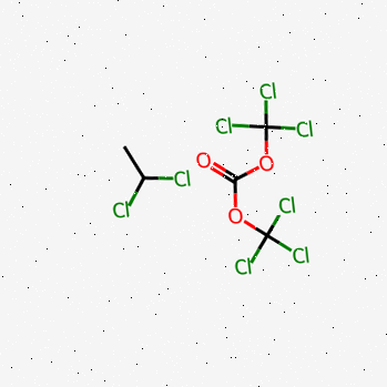 CC(Cl)Cl.O=C(OC(Cl)(Cl)Cl)OC(Cl)(Cl)Cl